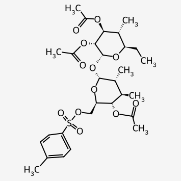 CC[C@H]1O[C@H](O[C@H]2O[C@H](COS(=O)(=O)c3ccc(C)cc3)[C@@H](OC(C)=O)[C@H](C)[C@H]2C)[C@H](OC(C)=O)[C@@H](OC(C)=O)[C@@H]1C